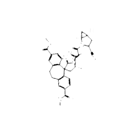 CNC(=O)c1ccc2c(c1)CCc1cc(C(=O)NC)ccc1C2(C[C@H](C)NCC(=O)N1C(C#N)C[C@@H]2C[C@@H]21)c1nnc(C)o1